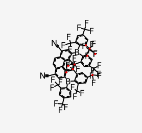 N#Cc1cc(B(c2ccc(C(F)(F)F)cc2C(F)(F)F)c2c(C(F)(F)F)cc(C(F)(F)F)cc2C(F)(F)F)c2ccc3c(B(c4c(C(F)(F)F)cc(C(F)(F)F)cc4C(F)(F)F)c4c(C(F)(F)F)cc(C(F)(F)F)cc4C(F)(F)F)cc(C#N)c4ccc1c2c43